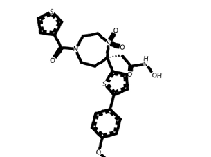 COc1ccc(-c2ccc([C@@]3(CC(=O)NO)CCN(C(=O)c4ccsc4)CCS3(=O)=O)s2)cc1